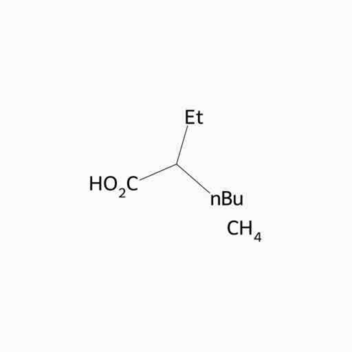 C.CCCCC(CC)C(=O)O